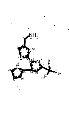 NCc1csc(-n2nc(C(F)(F)F)cc2-c2ccco2)n1